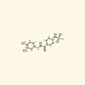 CS(=O)(=O)Nc1ccc(C(=O)NCc2ccc(Cl)c(Cl)c2)cc1